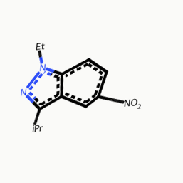 CCn1nc(C(C)C)c2cc([N+](=O)[O-])ccc21